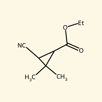 CCOC(=O)C1C(C#N)C1(C)C